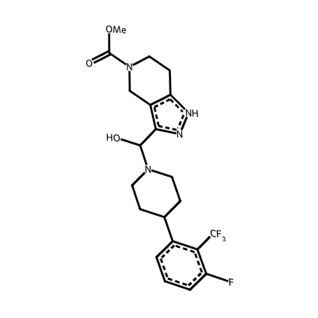 COC(=O)N1CCc2[nH]nc(C(O)N3CCC(c4cccc(F)c4C(F)(F)F)CC3)c2C1